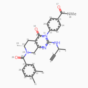 C#CC(C)Nc1nc2c(c(=O)n1-c1ccc(C(=O)NC)cc1)C[C@@H](C)N(C(=O)c1ccc(C)c(C)c1)C2